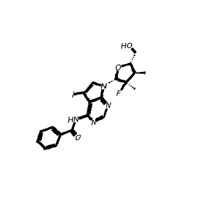 C[C@@H]1[C@@H](CO)O[C@@H](n2cc(I)c3c(NC(=O)c4ccccc4)ncnc32)[C@]1(C)F